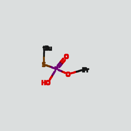 CC(C)OP(=O)(O)SC(C)(C)C